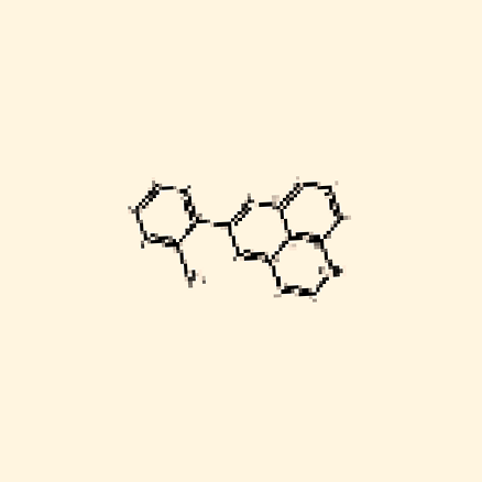 Cc1ccccc1-c1cc2c3c(cccc3c1)NC=C2